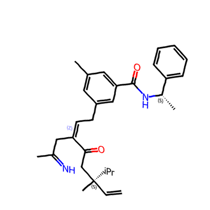 C=C[C@@](C)(CC(=O)/C(=C\Cc1cc(C)cc(C(=O)N[C@@H](C)c2ccccc2)c1)CC(C)=N)C(C)C